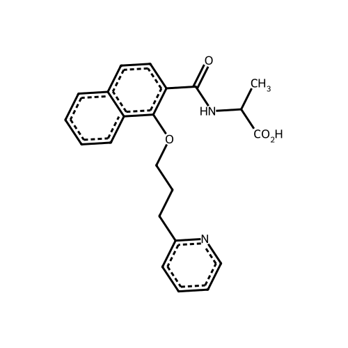 CC(NC(=O)c1ccc2ccccc2c1OCCCc1ccccn1)C(=O)O